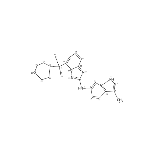 Cc1n[nH]c2cc(Nc3nc4cccc(C(F)(F)C5CCOCC5)n4n3)ccc12